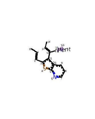 CC=Cc1sc2ncccc2c1C(=CC)CCCCC.I